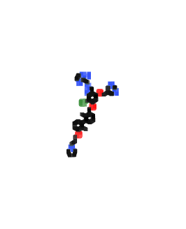 Cc1c(COc2cc(OCc3cncnc3)c(CNCc3ncc[nH]3)cc2Cl)cccc1-c1cccc(OCCCN2CCCC2)c1C